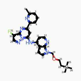 Cc1cccc(-c2cc(Nc3ccnc4c3ccn4COCC[Si](C)(C)C)n3ncc(F)c3n2)n1